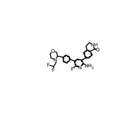 Nc1nc(F)c(-c2ccc(C3COCCN3CC(F)F)cc2)cc1-c1ccc2c(c1)CCNC2=O